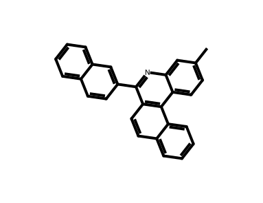 Cc1ccc2c(c1)nc(-c1ccc3ccccc3c1)c1ccc3ccccc3c12